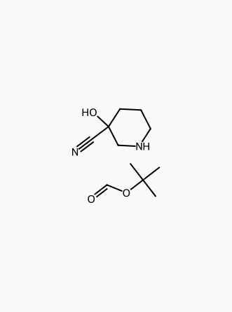 CC(C)(C)OC=O.N#CC1(O)CCCNC1